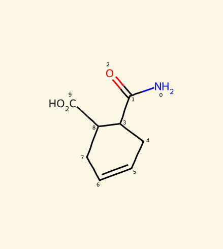 NC(=O)C1CC=CCC1C(=O)O